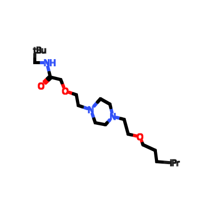 CC(C)CCCOCCN1CCN(CCOCC(=O)NCC(C)(C)C)CC1